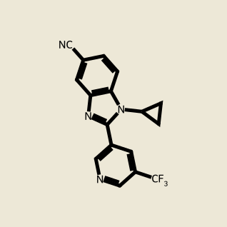 N#Cc1ccc2c(c1)nc(-c1cncc(C(F)(F)F)c1)n2C1CC1